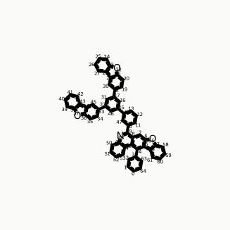 c1ccc(-c2c3c(cc4c(-c5cccc(-c6cc(-c7ccc8oc9ccccc9c8c7)cc(-c7ccc8oc9ccccc9c8c7)c6)c5)nc5ccccc5c24)oc2ccccc23)cc1